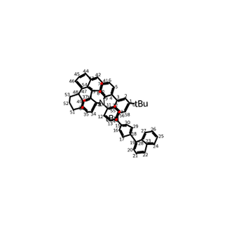 CC(C)(C)c1cc(-c2ccccc2N(c2ccc(-c3ccc(-c4cccc5ccccc45)cc3)cc2)c2ccccc2-c2cccc3cccc(C4CCCCC4)c23)cc(C(C)(C)C)c1